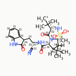 CC(C)(C)[C@H](NS(C)(=O)=O)C(=O)N1C[C@H]2[C@H]([C@H]1C(=O)N[C@H](C#N)CC1C(=O)Nc3ccccc31)C2(C)C